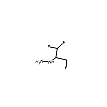 NNC(CF)C(F)F